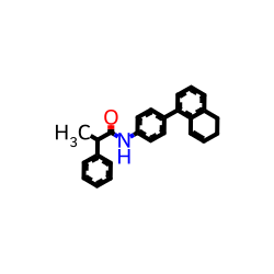 CC(C(=O)Nc1ccc(-c2cccc3c2C=CCC3)cc1)c1ccccc1